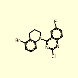 Fc1ccc2nc(Cl)nc(N3CCCc4c(Br)cccc43)c2c1